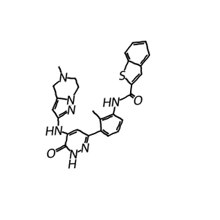 Cc1c(NC(=O)c2cc3ccccc3s2)cccc1-c1cc(Nc2cc3n(n2)CCN(C)C3)c(=O)[nH]n1